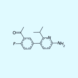 CC(=O)c1cc(-c2ccc(N)nc2C(C)C)ccc1F